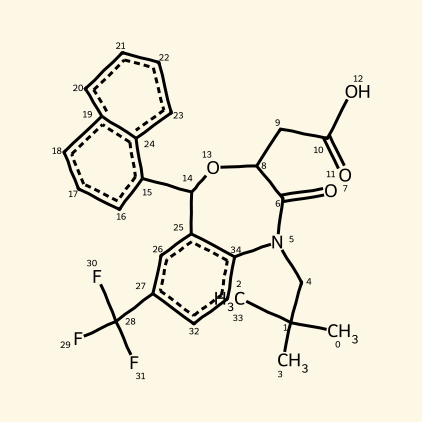 CC(C)(C)CN1C(=O)C(CC(=O)O)OC(c2cccc3ccccc23)c2cc(C(F)(F)F)ccc21